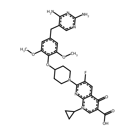 COc1cc(Cc2cnc(N)nc2N)cc(OC)c1OC1CCN(c2nc3c(cc2F)c(=O)c(C(=O)O)cn3C2CC2)CC1